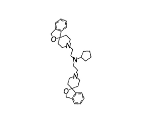 c1ccc2c(c1)COC21CCN(CCN(CCN2CCC3(CC2)OCc2ccccc23)C2CCCC2)CC1